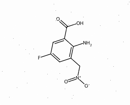 Nc1c(C[N+](=O)[O-])cc(F)cc1C(=O)O